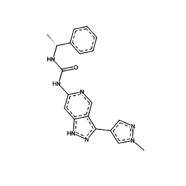 C[C@@H](NC(=O)Nc1cc2[nH]nc(-c3cnn(C)c3)c2cn1)c1ccccc1